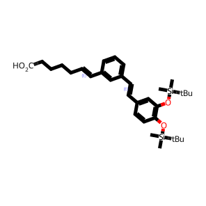 CC(C)(C)[Si](C)(C)Oc1ccc(/C=C/c2cccc(/C=C/CCCCC(=O)O)c2)cc1O[Si](C)(C)C(C)(C)C